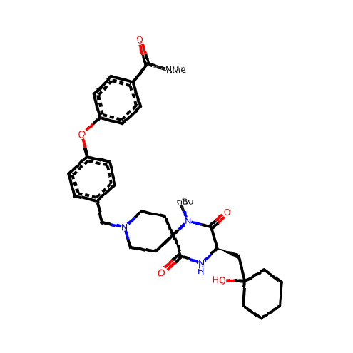 CCCCN1C(=O)[C@@H](CC2(O)CCCCC2)NC(=O)C12CCN(Cc1ccc(Oc3ccc(C(=O)NC)cc3)cc1)CC2